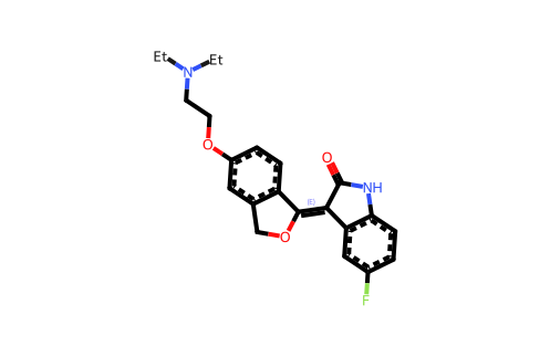 CCN(CC)CCOc1ccc2c(c1)CO/C2=C1/C(=O)Nc2ccc(F)cc21